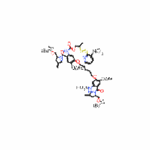 C=C1CC(CO[Si](C)(C)C(C)(C)C)N(C(=O)c2cc(OC)c(OCCCCCOc3cc(NC(=O)OCC(C)SSc4ncccc4[N+](=O)[O-])c(C(=O)N4CC(=C)CC4CO[Si](C)(C)C(C)(C)C)cc3OC)cc2NC(=O)O)C1